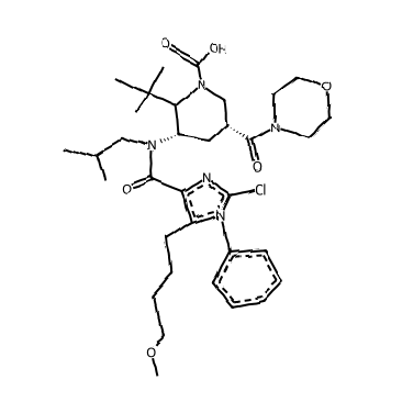 COCCCCc1c(C(=O)N(CC(C)C)[C@H]2C[C@@H](C(=O)N3CCOCC3)CN(C(=O)O)C2C(C)(C)C)nc(Cl)n1-c1ccccc1